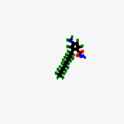 NS(=O)(=O)c1c(F)c(F)c(N(F)F)c(F)c1C(F)(F)C(F)(F)C(F)(F)C(F)(F)C(F)(F)C(F)(F)C(F)(F)C(F)(F)F